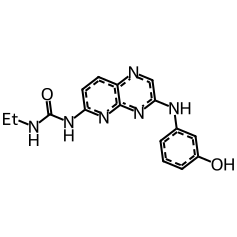 CCNC(=O)Nc1ccc2ncc(Nc3cccc(O)c3)nc2n1